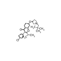 CC(C)c1oc2cc(O[C@@H]3CCN(CC(C)(C)C)C3)ccc2c(=O)c1-c1ccc(Cl)cc1